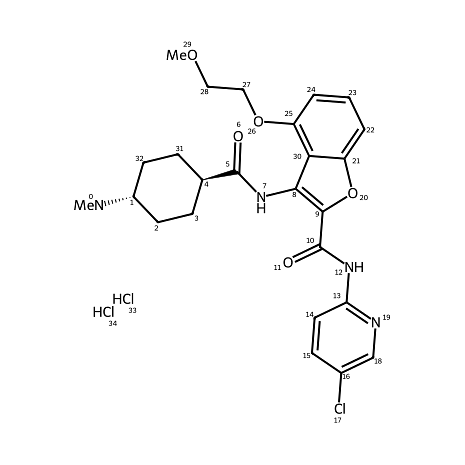 CN[C@H]1CC[C@H](C(=O)Nc2c(C(=O)Nc3ccc(Cl)cn3)oc3cccc(OCCOC)c23)CC1.Cl.Cl